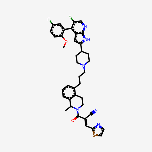 COc1ccc(F)cc1-c1c(F)cnc2[nH]c(C3CCN(CCCc4cccc5c4CCN(C(=O)/C(C#N)=C/c4nccs4)C5C)CC3)cc12